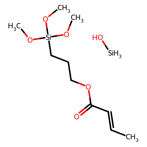 CC=CC(=O)OCCC[Si](OC)(OC)OC.O[SiH3]